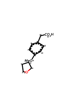 C1CCOC1.COc1ccc(CC(=O)O)cc1